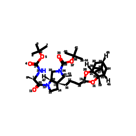 C[C@H](NC(=O)OC(C)(C)C)C(=O)N1CC[C@@]2(CCCB3O[C@@H]4C[C@@H]5C[C@@H](C5(C)C)[C@]4(C)O3)[C@@H]1CN(C(=O)OC(C)(C)C)[C@@H]2C